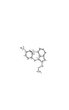 CCOc1nc2cccc(C)c2n1Cc1ccc(C)cc1